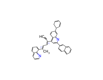 C#C/C(=C\C=C(/C)c1cccc2cccnc12)c1cc(-c2ccc3ccccc3c2)nc2cc(C3C=CC=CC3)ccc12